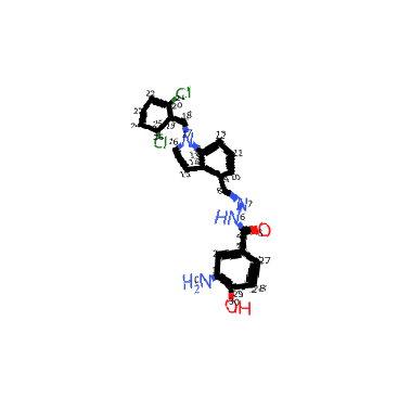 Nc1cc(C(=O)N/N=C/c2cccc3c2ccn3CC2C(Cl)=CC=CC2Cl)ccc1O